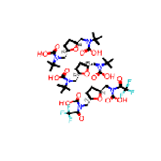 CC(C)(C)N(C[C@@H]1CC[C@@H](CN(C(=O)O)C(C)(C)C)O1)C(=O)O.CC(C)(C)N(C[C@H]1CC[C@@H](CN(C(=O)O)C(C)(C)C)O1)C(=O)O.O=C(O)N(C[C@@H]1CC[C@@H](CN(C(=O)O)C(=O)C(F)(F)F)O1)C(=O)C(F)(F)F